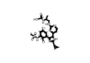 CC(CNc1nccc(-c2[nH]c(C3CC3)nc2-c2cc(F)cc(NS(C)(=O)=O)c2Cl)n1)NC(=O)O